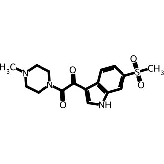 CN1CCN(C(=O)C(=O)c2c[nH]c3cc(S(C)(=O)=O)ccc23)CC1